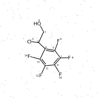 OCC(Cl)c1c(F)c(F)c(F)c(F)c1F